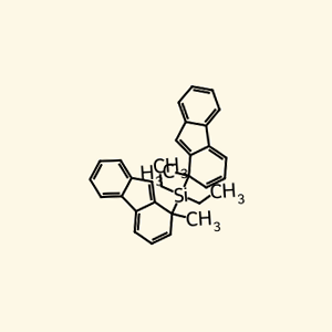 CC[Si](CC)(C1(C)C=CC=C2C1=Cc1ccccc12)C1(C)C=CC=C2C1=Cc1ccccc12